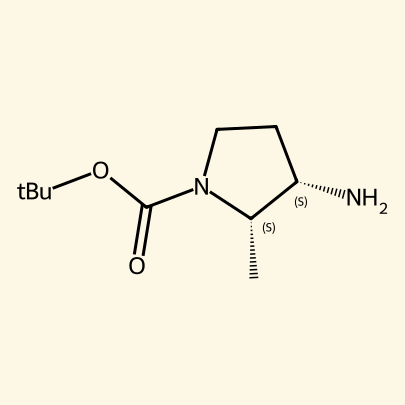 C[C@H]1[C@@H](N)CCN1C(=O)OC(C)(C)C